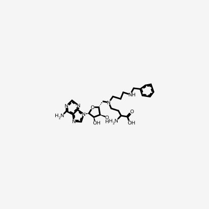 Nc1ncnc2c1ncn2[C@@H]1O[C@H](CN(CCCNCc2ccccc2)CCC(N)C(=O)O)[C@@H](O)[C@H]1O